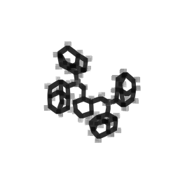 C1CCC(CP(C2C3CC4CC(C3)CC2C4)C2C3CC4CC(C3)CC2C4)C(CP(C2C3CC4CC(C3)CC2C4)C2C3CC4CC(C3)CC2C4)C1